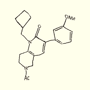 COc1cccc(-c2cc3c(n(CC4CCC4)c2=O)CCN(C(C)=O)C3)c1